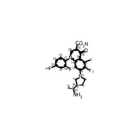 Cc1c(F)c(N2CC[C@@H]([C@H](C)N)C2)cc2c1c(=O)c(C(=O)O)cn2-c1ccc(F)cc1F